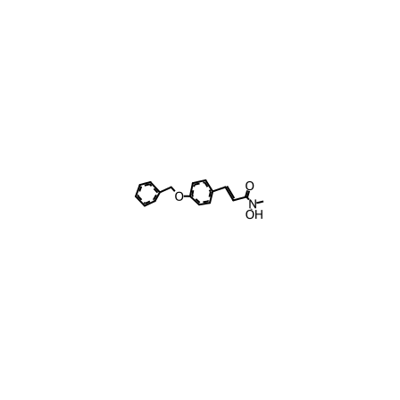 CN(O)C(=O)C=Cc1ccc(OCc2ccccc2)cc1